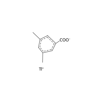 Cc1cc(C)cc(C(=O)[O-])c1.[Tl+]